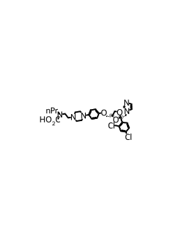 CCCN(CCN1CCN(c2ccc(OC[C@@H]3CO[C@@](Cn4ccnc4)(c4ccc(Cl)cc4Cl)O3)cc2)CC1)C(=O)O